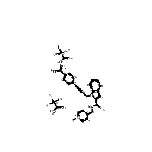 C[n+]1ccc(CNC(=O)c2cc3ccccc3n2CC#Cc2ccc(C(=N)N)cc2)cc1.O=C(O)C(F)(F)F.O=C([O-])C(F)(F)F